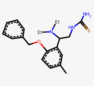 [CH2]c1ccc(OCc2ccccc2)c(C(CNC(N)=S)N(CC)CC)c1